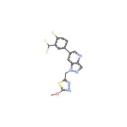 COc1nnc(Cn2ncc3ncc(-c4ccc(F)c(C(F)F)c4)cc32)s1